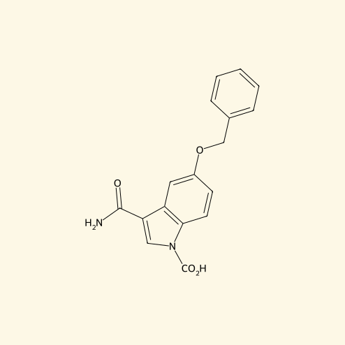 NC(=O)c1cn(C(=O)O)c2ccc(OCc3ccccc3)cc12